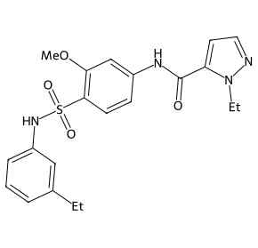 CCc1cccc(NS(=O)(=O)c2ccc(NC(=O)c3ccnn3CC)cc2OC)c1